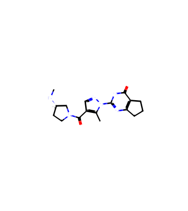 CN[C@@H]1CCN(C(=O)c2cnn(-c3nc4c(c(=O)[nH]3)CCC4)c2C)C1